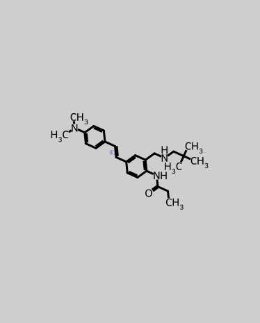 CCC(=O)Nc1ccc(/C=C/c2ccc(N(C)C)cc2)cc1CNCC(C)(C)C